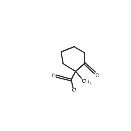 CC1(C(=O)Cl)CCCCC1=O